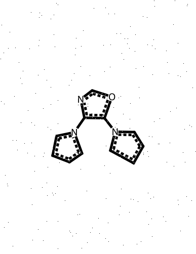 c1ccn(-c2ncoc2-n2cccc2)c1